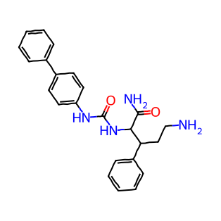 NCCC(c1ccccc1)C(NC(=O)Nc1ccc(-c2ccccc2)cc1)C(N)=O